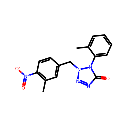 Cc1ccccc1-n1c(=O)nnn1Cc1ccc([N+](=O)[O-])c(C)c1